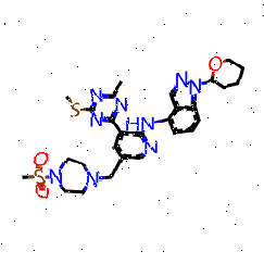 CSc1nc(C)nc(-c2cc(CN3CCN(S(C)(=O)=O)CC3)cnc2Nc2cccc3c2cnn3C2CCCCO2)n1